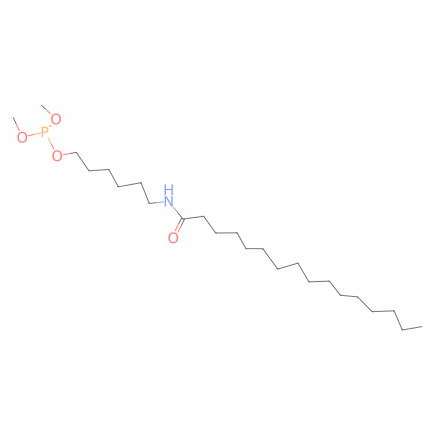 CCCCCCCCCCCCCCCC(=O)NCCCCCCOP(OC)OC